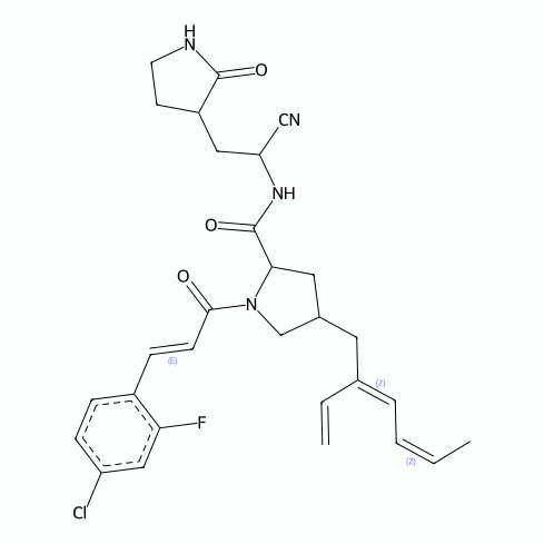 C=C/C(=C\C=C/C)CC1CC(C(=O)NC(C#N)CC2CCNC2=O)N(C(=O)/C=C/c2ccc(Cl)cc2F)C1